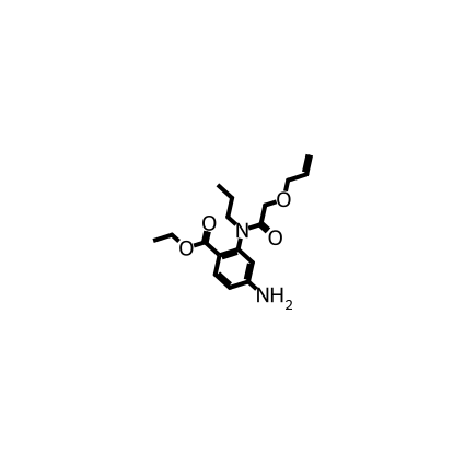 C=CCOCC(=O)N(CCC)c1cc(N)ccc1C(=O)OCC